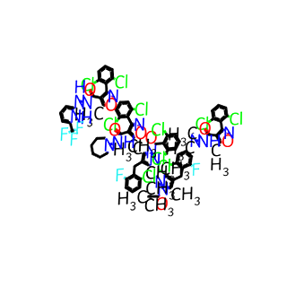 Cc1nn(C(=O)C(C)(C)C)c(C)c1Cc1c(F)cccc1Cl.Cc1nn(C(=O)c2c(Cl)cccc2Cl)c(C)c1Cc1c(F)cccc1Cl.Cc1onc(-c2c(Cl)cccc2Cl)c1C(=O)NN(C)C.Cc1onc(-c2c(Cl)cccc2Cl)c1C(=O)NN1CCCCCC1.Cc1onc(-c2c(Cl)cccc2Cl)c1C(=O)NNc1cccc(C(F)(F)F)n1